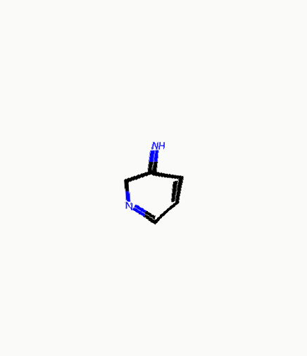 N=C1C=CC=NC1